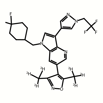 [2H]C([2H])([2H])c1noc(C([2H])([2H])[2H])c1-c1cnc2c(-c3cnn(CC(F)(F)F)c3)cn(CC3CCC(C)(F)CC3)c2c1